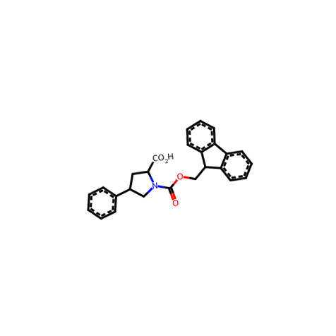 O=C(O)C1CC(c2ccccc2)CN1C(=O)OCC1c2ccccc2-c2ccccc21